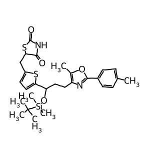 Cc1ccc(-c2nc(CCC(O[Si](C)(C)C(C)(C)C)c3ccc(CC4SC(=O)NC4=O)s3)c(C)o2)cc1